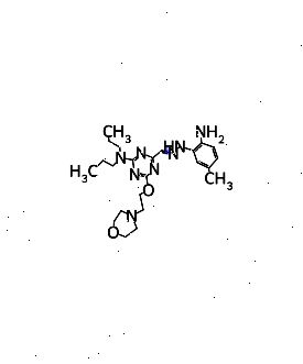 CCCN(CCC)c1nc(/C=N/Nc2cc(C)ccc2N)nc(OCCN2CCOCC2)n1